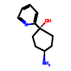 N[C@H]1CC[C@@](O)(c2ccccn2)CC1